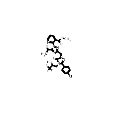 COC(=O)c1cccnc1-n1nc(Cn2nc(-c3ccc(Cl)cc3)n(CC(O)C(F)(F)F)c2=O)nc1C(N)=O